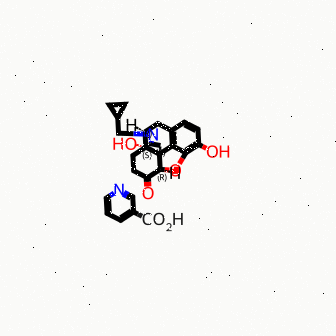 O=C(O)c1cccnc1.O=C1CC[C@@]2(O)[C@H]3Cc4ccc(O)c5c4[C@@]2(CCN3CC2CC2)[C@H]1O5